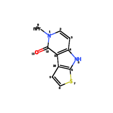 CCCn1ccc2[nH]c3sccc3c2c1=O